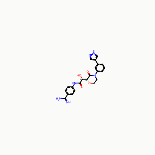 N=C(N)c1ccc(NC(=O)[C@H](O)[C@H]2OCCN(c3cccc(-c4cn[nH]c4)c3)C2=O)cc1